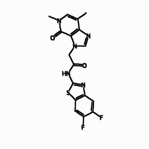 Cc1cn(C)c(=O)c2c1ncn2CC(=O)Nc1nc2cc(F)c(F)cc2s1